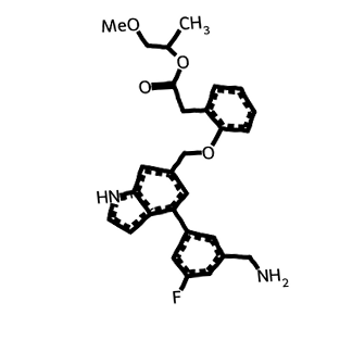 COCC(C)OC(=O)Cc1ccccc1OCc1cc(-c2cc(F)cc(CN)c2)c2cc[nH]c2c1